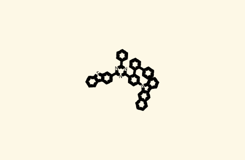 c1ccc(-c2nc(-c3ccc4c(c3)sc3ccccc34)nc(-c3ccc(-n4c5ccccc5c5cc6ccccc6cc54)cc3-c3ccccc3-c3ccccc3)n2)cc1